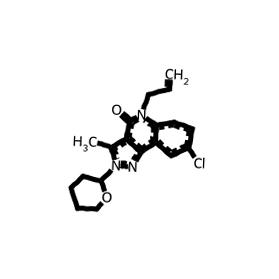 C=CCn1c(=O)c2c(C)n(C3CCCCO3)nc2c2cc(Cl)ccc21